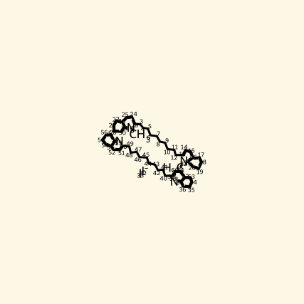 C[n+]1c(CCCCCCCCCCc2ccc3ccccc3[n+]2C)ccc2ccccc21.[I-].[I-].c1ccc2nc(CCCCCCCCCCc3ccc4ccccc4n3)ccc2c1